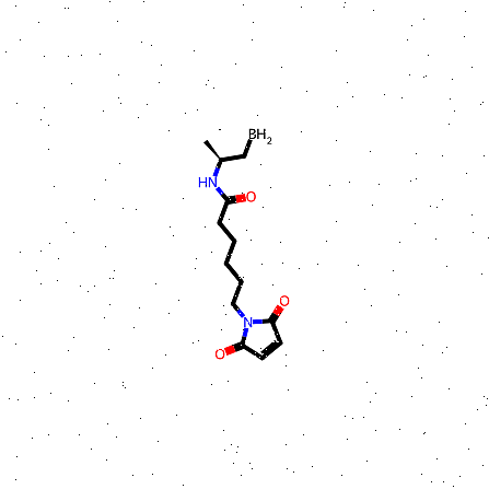 BC[C@H](C)NC(=O)CCCCCN1C(=O)C=CC1=O